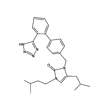 CC(C)CCn1cc(CC(C)C)n(Cc2ccc(-c3ccccc3-c3nnn[nH]3)cc2)c1=O